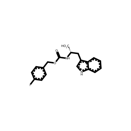 O=C(N[C@@H](Cc1c[nH]c2ccccc12)C(=O)O)OCc1ccc(I)cc1